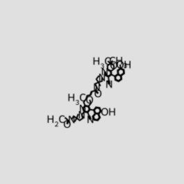 C=CC(=O)N1CC2(CCN(c3nc4c(c(-c5ccc(O)c6ccccc56)c3C#N)COC(C)(CC=CC(=O)N3CC5(CCN(c6nc7c(c(-c8cccc9ccc(O)cc89)c6C#N)COC(C)(C)C7)C5)C3)C4)C2)C1